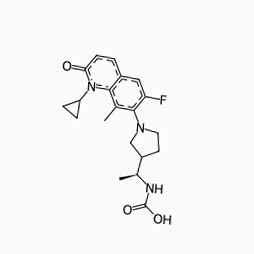 Cc1c(N2CCC([C@H](C)NC(=O)O)C2)c(F)cc2ccc(=O)n(C3CC3)c12